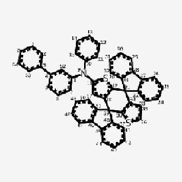 c1ccc(-c2cccc(N(c3ccccc3)c3cc4c(s3)C3(c5ccccc5-c5ccccc53)c3ccsc3C43c4ccccc4-c4ccccc43)c2)cc1